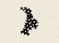 Nc1ccc(CS(=O)(=O)N2CCN(c3cnn(-c4cc(F)cc(F)c4)c(=O)c3OCC3(c4ccccc4)CC3)CC2)cc1